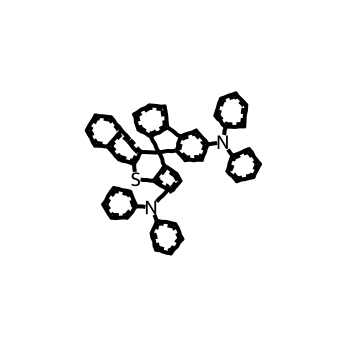 c1ccc(N(c2ccccc2)c2ccc3c(c2)-c2ccccc2C32c3cc4ccccc4cc3Sc3c(N(c4ccccc4)c4ccccc4)cccc32)cc1